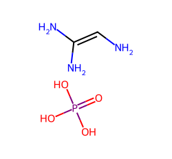 NC=C(N)N.O=P(O)(O)O